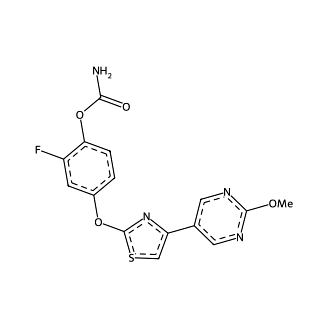 COc1ncc(-c2csc(Oc3ccc(OC(N)=O)c(F)c3)n2)cn1